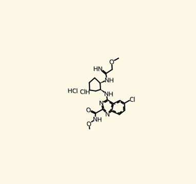 COCC(=N)N[C@@H]1CCCC[C@@H]1Nc1nc(C(=O)NOC)nc2ccc(Cl)cc12.Cl.Cl